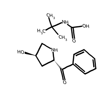 CC(C)(C)NC(=O)O.O=C(c1ccccc1)[C@@H]1C[C@@H](O)CN1